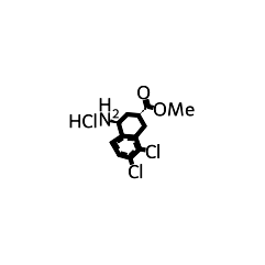 COC(=O)[C@@H]1Cc2c(ccc(Cl)c2Cl)[C@@H](N)C1.Cl